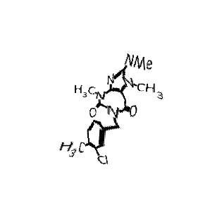 CNc1nc2c(c(=O)n(Cc3ccc(C)c(Cl)c3)c(=O)n2C)n1C